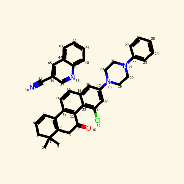 CC1(C)CC=CC2=C1CC(=O)c1c2ccc2cc(N3CCN(c4ccccc4)CC3)cc(Cl)c12.N#Cc1cnc2ccccc2c1